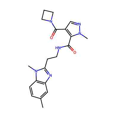 Cc1ccc2c(c1)nc(CCNC(=O)c1c(C(=O)N3CCC3)cnn1C)n2C